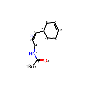 CC(C)(C)C(=O)NC/C=C\C1CC=CCC1